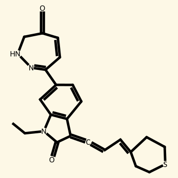 CCN1C(=O)C(=C=CC=C2CCSCC2)c2ccc(C3=NNCC(=O)C=C3)cc21